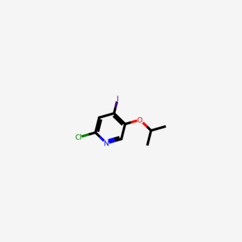 CC(C)Oc1cnc(Cl)cc1I